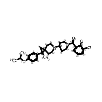 CC(C)Oc1ccc(C2(C)CC23CCN(C2CCN(C(=O)c4cccc(Cl)c4Cl)CC2)CC3)cc1